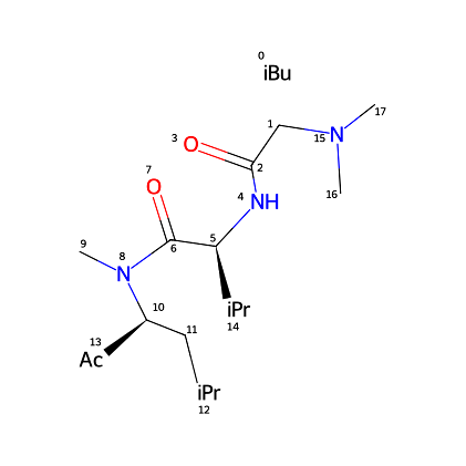 CC[C@H](C)C(C(=O)N[C@H](C(=O)N(C)[C@@H](CC(C)C)C(C)=O)C(C)C)N(C)C